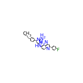 CCCCc1ccc(-c2cc(Nc3ccc4nc(-c5ccc(F)cc5)cc(N)c4c3)nc(N)n2)cc1